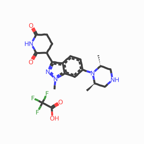 C[C@@H]1CNC[C@@H](C)N1c1ccc2c(C3CCC(=O)NC3=O)nn(C)c2c1.O=C(O)C(F)(F)F